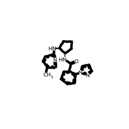 Cc1ccc(N[C@H]2CCC[C@@H]2NC(=O)c2ccccc2-n2cccn2)nc1